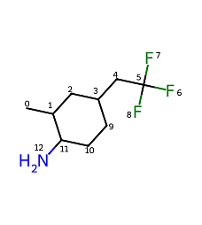 CC1CC(CC(F)(F)F)CCC1N